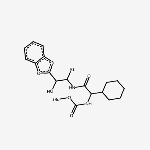 CCC(NC(=O)C(NC(=O)OC(C)(C)C)C1CCCCC1)C(O)c1nc2ccccc2o1